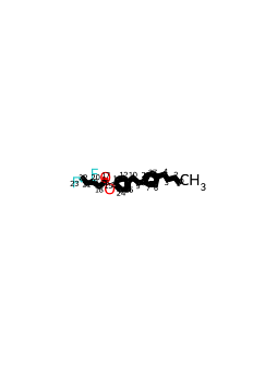 CCCCCc1ccc(CCc2ccc(OC(=O)CC(F)CCF)cc2)cc1